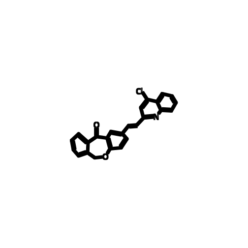 O=C1c2ccccc2COc2ccc(C=Cc3cc(Cl)c4ccccc4n3)cc21